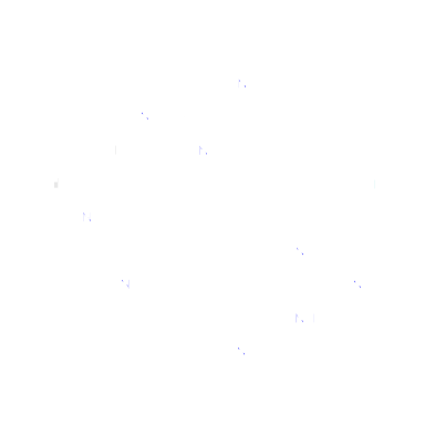 CCN(CC)c1cnc2ccc(-c3nc(Nc4ccc(CN5CCN(C(C)C)CC5)cn4)ncc3F)cc2n1